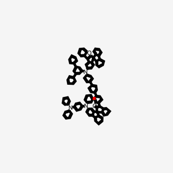 c1ccc(-c2cc(-c3ccccc3)cc(N(c3ccc(-c4ccc(-c5ccc6c7c(oc6c5)C5(c6ccccc6-c6ccc(N(c8ccccc8)c8ccc(N(c9ccccc9)c9ccccc9)cc8)cc65)c5ccccc5-7)cc4)cc3)c3ccc4c(c3)-c3c(oc5ccccc35)C43c4ccccc4-c4ccccc43)c2)cc1